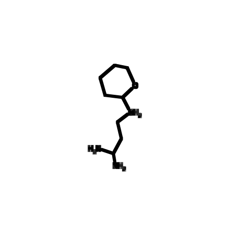 NC(N)CC[SiH2]C1CCCCO1